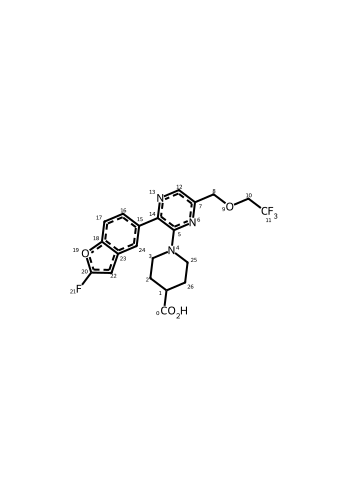 O=C(O)C1CCN(c2nc(COCC(F)(F)F)cnc2-c2ccc3oc(F)cc3c2)CC1